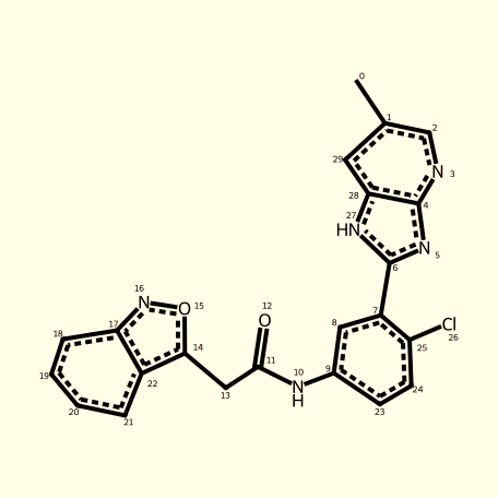 Cc1cnc2nc(-c3cc(NC(=O)Cc4onc5ccccc45)ccc3Cl)[nH]c2c1